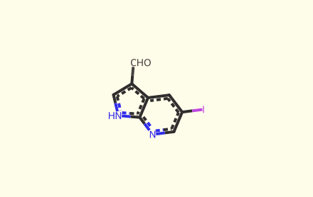 O=Cc1c[nH]c2ncc(I)cc12